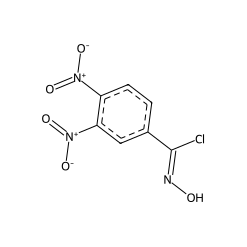 O=[N+]([O-])c1ccc(C(Cl)=NO)cc1[N+](=O)[O-]